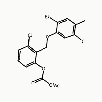 CCc1cc(C)c(Cl)cc1OCc1c(Cl)cccc1OC(=O)OC